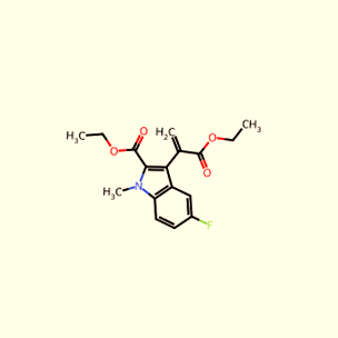 C=C(C(=O)OCC)c1c(C(=O)OCC)n(C)c2ccc(F)cc12